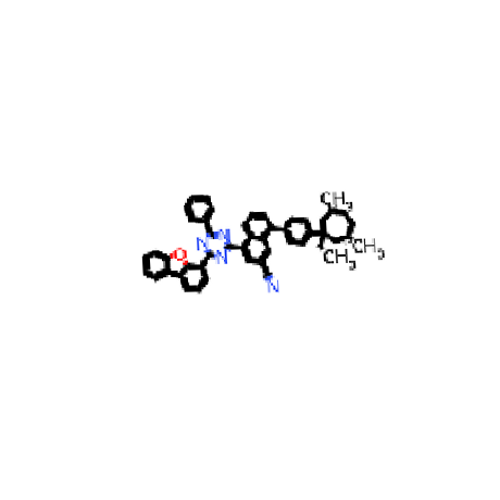 CCC1(c2ccc(-c3cccc4c(-c5nc(-c6ccccc6)nc(-c6cccc7c6oc6ccccc67)n5)cc(C#N)cc34)cc2)C[C@H](C)CC[C@H](C)C1